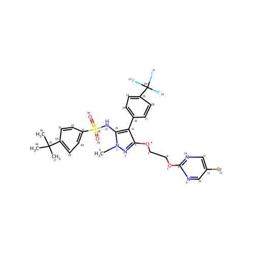 Cn1nc(OCCOc2ncc(Br)cn2)c(-c2ccc(C(F)(F)F)cc2)c1NS(=O)(=O)c1ccc(C(C)(C)C)cc1